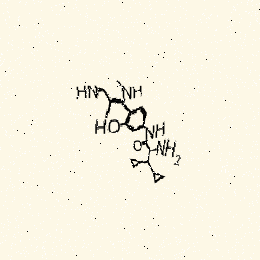 CN/C(=C(/C)C=N)c1ccc(NC(=O)[C@@H](N)C(C2CC2)C2CC2)cc1O